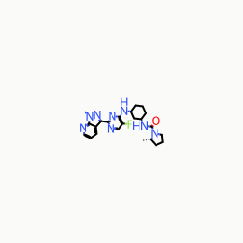 C[C@H]1CCCN1C(=O)N[C@@H]1CCCC(Nc2nc(-c3nn(C)c4ncccc34)ncc2F)C1